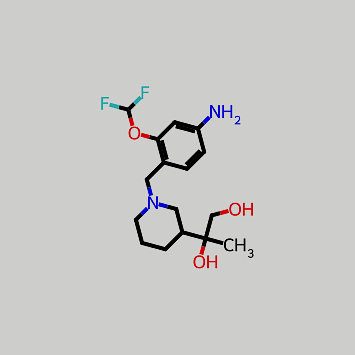 CC(O)(CO)C1CCCN(Cc2ccc(N)cc2OC(F)F)C1